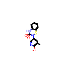 COc1ncc(N2Sc3ccccc3NC23OO3)cc1C